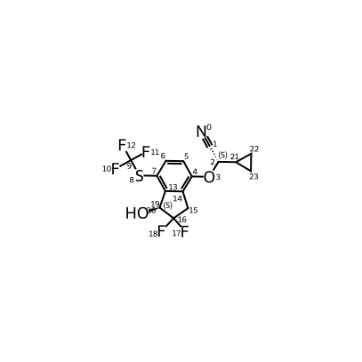 N#C[C@@H](Oc1ccc(SC(F)(F)F)c2c1CC(F)(F)[C@H]2O)C1CC1